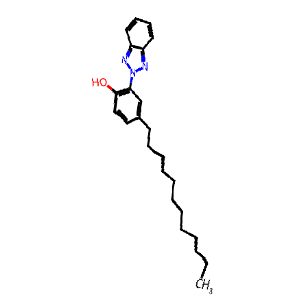 CCCCCCCCCCCCc1ccc(O)c(-n2nc3ccccc3n2)c1